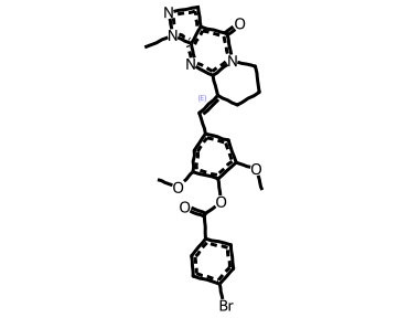 COc1cc(/C=C2\CCCn3c2nc2c(cnn2C)c3=O)cc(OC)c1OC(=O)c1ccc(Br)cc1